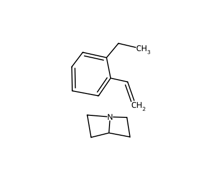 C1CN2CCC12.C=Cc1ccccc1CC